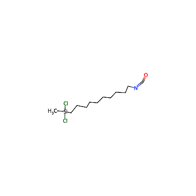 C[Si](Cl)(Cl)CCCCCCCCCCN=C=O